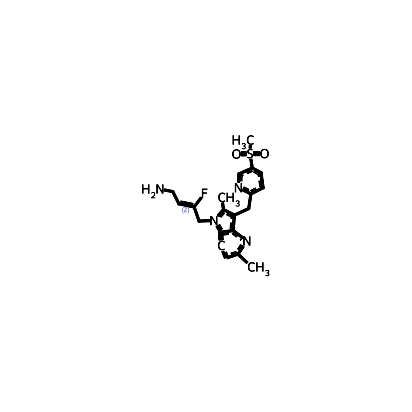 Cc1ccc2c(n1)c(Cc1ccc(S(C)(=O)=O)cn1)c(C)n2C/C(F)=C/CN